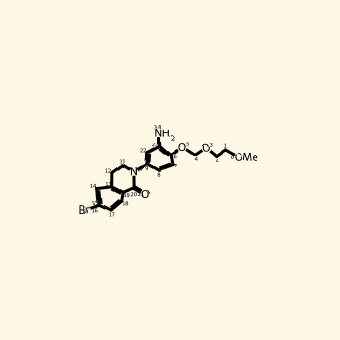 COCCOCOc1ccc(N2CCc3cc(Br)ccc3C2=O)cc1N